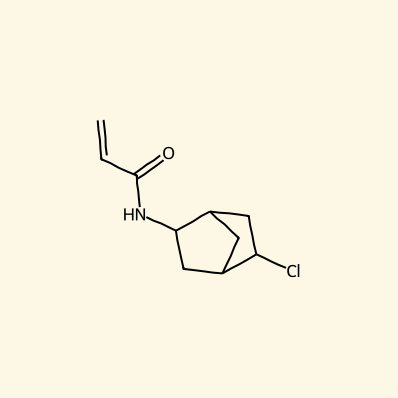 C=CC(=O)NC1CC2CC1CC2Cl